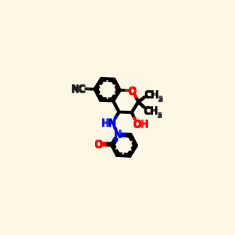 CC1(C)Oc2ccc(C#N)cc2C(Nn2ccccc2=O)C1O